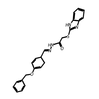 O=C(CSc1nc2ccccc2[nH]1)N/N=C/C1C=CC(OCc2ccccc2)=CC1